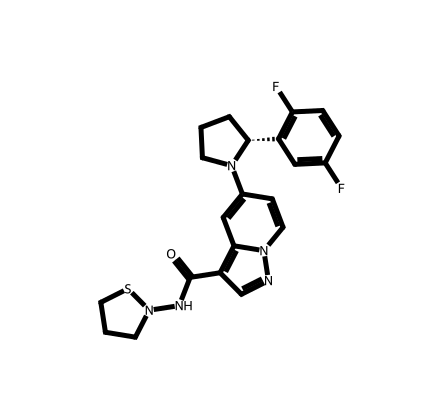 O=C(NN1CCCS1)c1cnn2ccc(N3CCC[C@@H]3c3cc(F)ccc3F)cc12